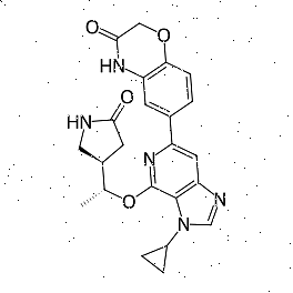 C[C@@H](Oc1nc(-c2ccc3c(c2)NC(=O)CO3)cc2ncn(C3CC3)c12)[C@H]1CNC(=O)C1